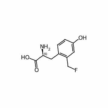 N[C@@H](Cc1ccc(O)cc1CF)C(=O)O